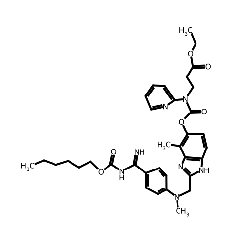 CCCCCCOC(=O)NC(=N)c1ccc(N(C)Cc2nc3c(C)c(OC(=O)N(CCC(=O)OCC)c4ccccn4)ccc3[nH]2)cc1